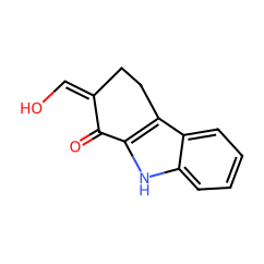 O=C1/C(=C\O)CCc2c1[nH]c1ccccc21